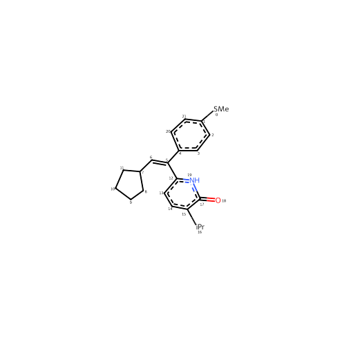 CSc1ccc(C(=CC2CCCC2)c2ccc(C(C)C)c(=O)[nH]2)cc1